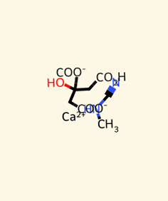 CNC#N.O=C([O-])CC(O)(CC(=O)O)C(=O)[O-].[Ca+2]